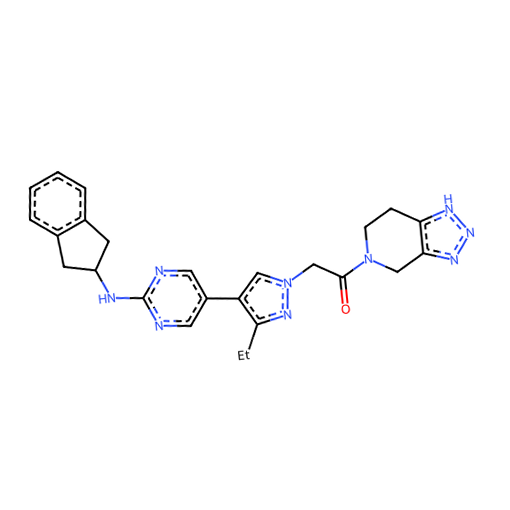 CCc1nn(CC(=O)N2CCc3[nH]nnc3C2)cc1-c1cnc(NC2Cc3ccccc3C2)nc1